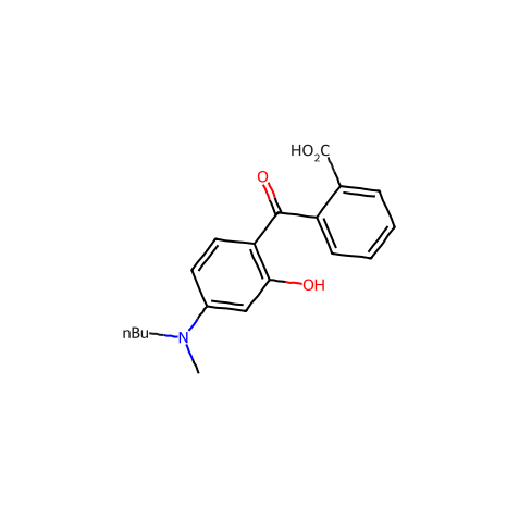 CCCCN(C)c1ccc(C(=O)c2ccccc2C(=O)O)c(O)c1